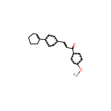 O=C(C=Cc1ccc(C2=CCCCC2)cc1)c1ccc(OC(F)(F)F)cc1